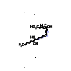 C[C@@](O)(/C=C/C=C\C=C\C=C\[C@@H](O)[C@@H](O)CCCCC(F)(F)F)CCCC(=O)O